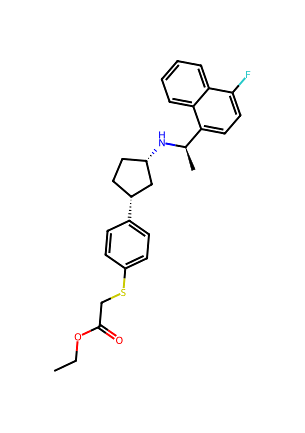 CCOC(=O)CSc1ccc([C@@H]2CC[C@H](N[C@H](C)c3ccc(F)c4ccccc34)C2)cc1